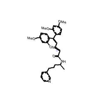 COc1ccc(C(=C/C=C/C(=O)NC(C)CCCc2cccnc2)c2ccc(OC)cc2OC)c(OC)c1